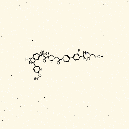 C=C(/N=C\N(N)CCO)c1ccc(C2=CCN(C(=O)CN3CC[C@@](OC)(C(=O)Nc4ccc5[nH]nc(-c6ccc(OC(C)C)nc6)c5c4)C3)CC2)cc1F